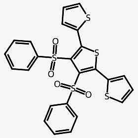 O=S(=O)(c1ccccc1)c1c(-c2cccs2)sc(-c2cccs2)c1S(=O)(=O)c1ccccc1